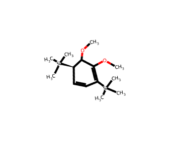 COC1=C([Si](C)(C)C)C=C[C@@H]([Si](C)(C)C)C1OC